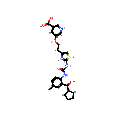 Cc1ccc(NC(=O)Nc2nc(CCOc3cncc(C(=O)O)c3)cs2)c(C(=O)C2CCCC2)c1